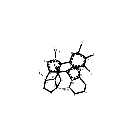 Cn1nc2c(c1-c1cc(F)c(F)c(F)c1)C[C@H]1CC[C@@H]2N1C(=O)c1cnc2n1CCCC2